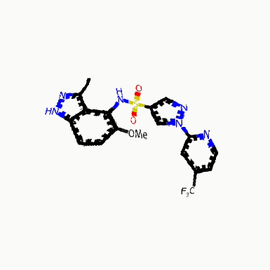 COc1ccc2[nH]nc(C)c2c1NS(=O)(=O)c1cnn(-c2cc(C(F)(F)F)ccn2)c1